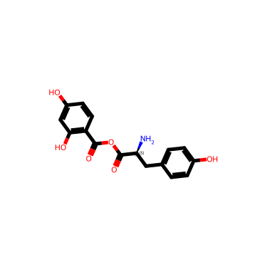 N[C@@H](Cc1ccc(O)cc1)C(=O)OC(=O)c1ccc(O)cc1O